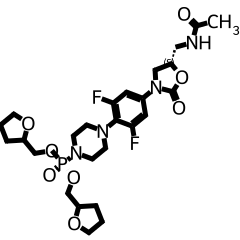 CC(=O)NC[C@H]1CN(c2cc(F)c(N3CCN(P(=O)(OCC4CCCO4)OCC4CCCO4)CC3)c(F)c2)C(=O)O1